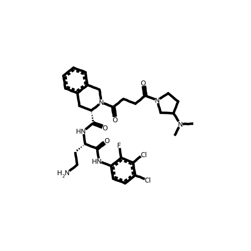 CN(C)C1CCN(C(=O)CCC(=O)N2Cc3ccccc3C[C@H]2C(=O)N[C@@H](CCN)C(=O)Nc2ccc(Cl)c(Cl)c2F)C1